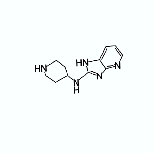 c1cnc2nc(NC3CCNCC3)[nH]c2c1